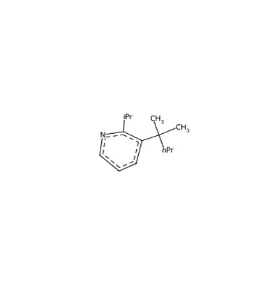 CCCC(C)(C)c1cccnc1C(C)C